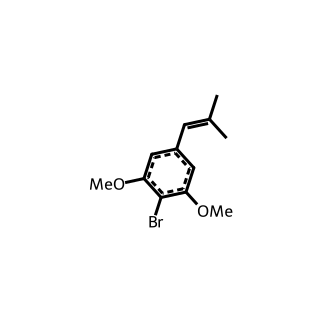 COc1cc(C=C(C)C)cc(OC)c1Br